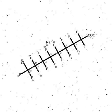 O=C([O-])C(F)(F)C(F)(F)C(F)(F)C(F)(F)C(F)(F)C(F)(F)C(F)(F)C(F)(F)Cl.[Na+]